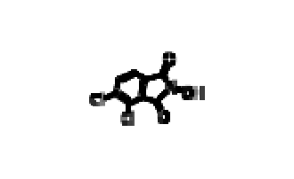 O=C1c2ccc(Cl)c(Cl)c2C(=O)N1O